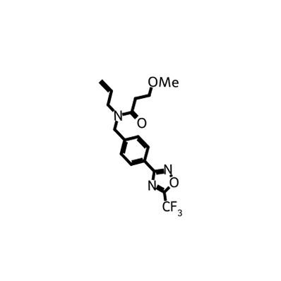 C=CCN(Cc1ccc(-c2noc(C(F)(F)F)n2)cc1)C(=O)CCOC